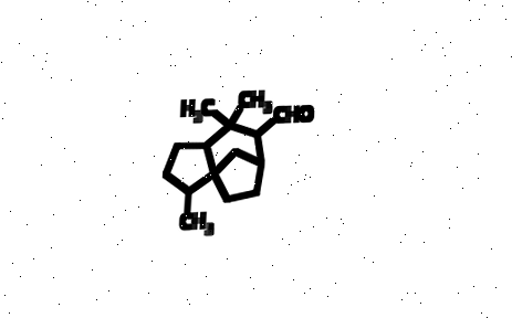 CC1CCC2C(C)(C)C(C=O)C3CCC12C3